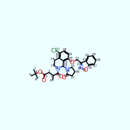 CC(CC(=O)OC(C)(C)C)C(=O)N1CCc2c(Cl)ccc(OCc3noc4ccccc34)c2C1N1CCCC1=O